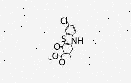 CCOC(=O)C1C(=O)C2=C(CC1C)Nc1ccc(Cl)cc1S2